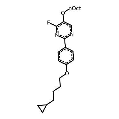 CCCCCCCCOc1cnc(-c2ccc(OCCCCC3CC3)cc2)nc1F